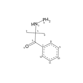 CC(C)(NP)C(=O)c1ccccc1